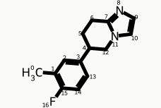 Cc1cc(C2CCc3nccn3C2)ccc1F